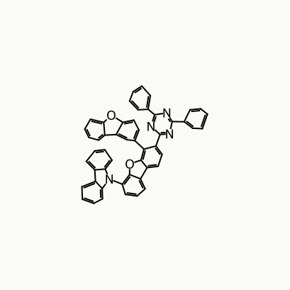 c1ccc(-c2nc(-c3ccccc3)nc(-c3ccc4c(oc5c(-n6c7ccccc7c7ccccc76)cccc54)c3-c3ccc4oc5ccccc5c4c3)n2)cc1